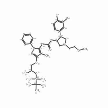 COCCN1C[C@@H](NC(=O)Nc2c(C)c(OCC(C)O[Si](C)(C)C(C)(C)C)nn2-c2ccccc2)[C@H](c2ccc(F)c(F)c2)C1